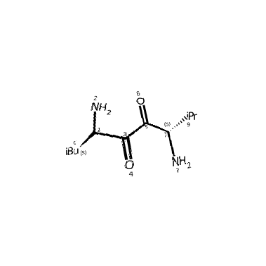 CC[C@H](C)C(N)C(=O)C(=O)[C@@H](N)C(C)C